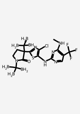 BC(B)(B)N1CCC(c2nc(Cl)c(Nc3ncc(C(F)(F)F)c(NC)n3)s2)(C(B)(B)B)C1=O